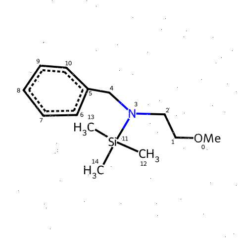 COCCN(Cc1ccccc1)[Si](C)(C)C